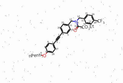 CCCCCOc1ccc(C#Cc2ccc(CN(Cc3ccc(C(F)(F)F)cc3)C(=O)C(=O)OCC)cc2)cc1